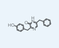 O=c1[nH]c(Cc2ccccc2)cnc1Cc1ccc(O)cc1